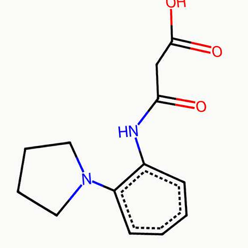 O=C(O)CC(=O)Nc1ccccc1N1CCCC1